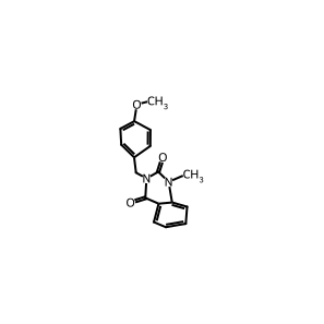 COc1ccc(Cn2c(=O)c3ccccc3n(C)c2=O)cc1